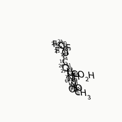 CS(=O)(=O)N1CC2CC(c3ccc(CCCOc4c(F)ccc(F)c4F)cc3)=C(C(=O)O)[C@@H](C1)N2